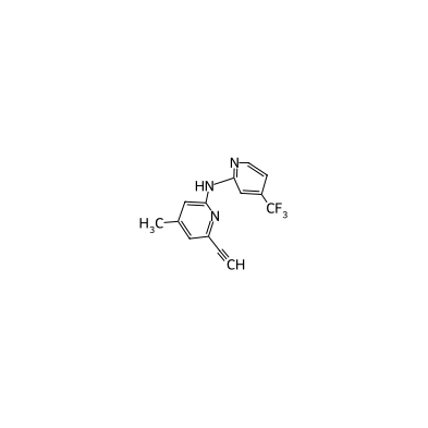 C#Cc1cc(C)cc(Nc2cc(C(F)(F)F)ccn2)n1